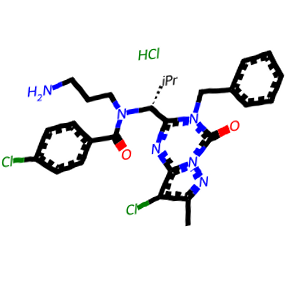 Cc1nn2c(=O)n(Cc3ccccc3)c([C@@H](C(C)C)N(CCCN)C(=O)c3ccc(Cl)cc3)nc2c1Cl.Cl